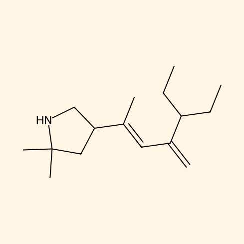 C=C(/C=C(\C)C1CNC(C)(C)C1)C(CC)CC